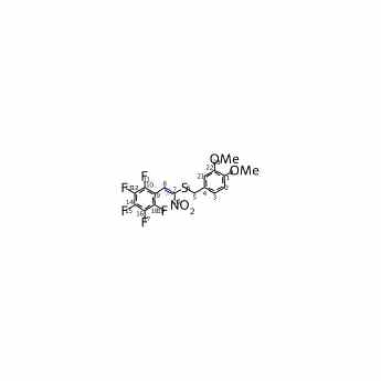 COc1ccc(CS/C(=C/c2c(F)c(F)c(F)c(F)c2F)[N+](=O)[O-])cc1OC